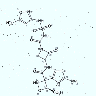 Cc1cc(NS(=O)(=O)NC(=O)N2CC(NC(=O)C3(c4csc(N)n4)NO[C@@H]3C(=O)O)C2=O)no1